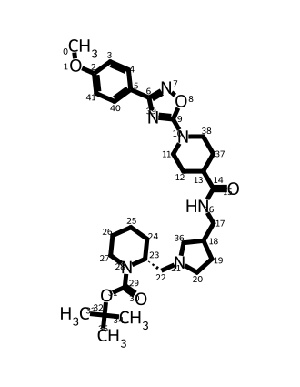 COc1ccc(-c2noc(N3CCC(C(=O)NCC4CCN(C[C@H]5CCCCN5C(=O)OC(C)(C)C)C4)CC3)n2)cc1